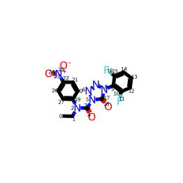 CCN(C(=O)n1nnn(-c2c(F)cccc2F)c1=O)c1ccc([N+](=O)[O-])cc1